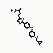 CC(N)CCc1cnc(-c2ccc(Oc3cccc(OCC4CC4)c3)cc2)o1